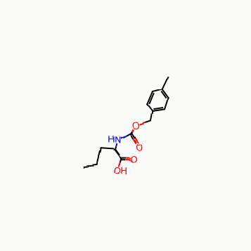 CCCC(NC(=O)OCc1ccc(C)cc1)C(=O)O